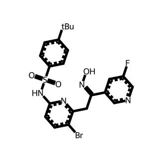 CC(C)(C)c1ccc(S(=O)(=O)Nc2ccc(Br)c(CC(=NO)c3cncc(F)c3)n2)cc1